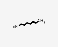 C[CH]CCCCCC=CC